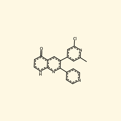 Cc1cc(-c2cc3c(=O)cc[nH]c3nc2-c2ccncc2)cc(Cl)n1